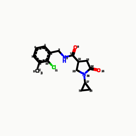 O=C(NCc1cccc(C(F)(F)F)c1Cl)C1CC(=O)N(C2CC2)C1